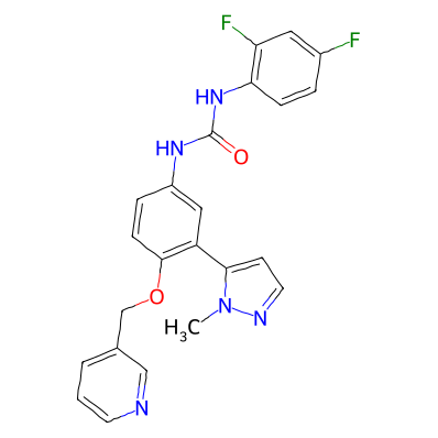 Cn1nccc1-c1cc(NC(=O)Nc2ccc(F)cc2F)ccc1OCc1cccnc1